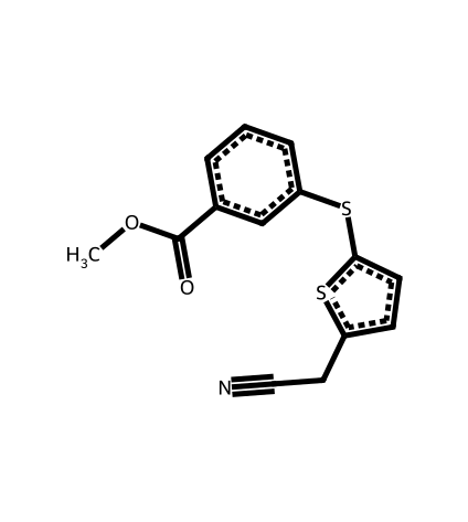 COC(=O)c1cccc(Sc2ccc(CC#N)s2)c1